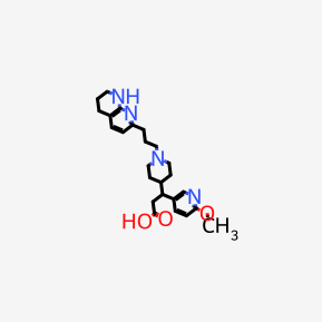 COc1ccc(C(CC(=O)O)C2CCN(CCCc3ccc4c(n3)NCCC4)CC2)cn1